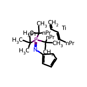 C=CC=CCCC.CCCC(C)(C)P(=NC1=CC=CC1)(C(C)(C)CCC)C(C)(C)CCC.[Ti]